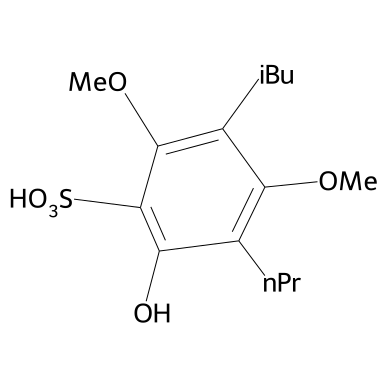 CCCc1c(O)c(S(=O)(=O)O)c(OC)c(C(C)CC)c1OC